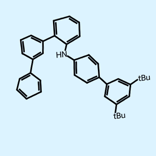 CC(C)(C)c1cc(-c2ccc(Nc3ccccc3-c3cccc(-c4ccccc4)c3)cc2)cc(C(C)(C)C)c1